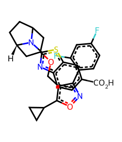 O=C(O)c1ccc2nc(N3C4CC[C@H]3CC(OCc3c(-c5ccc(F)cc5F)noc3C3CC3)C4)sc2c1